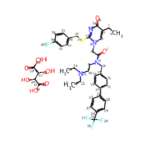 CCc1cn(CC(=O)N(CCN(CC)CC)Cc2ccc(-c3ccc(C(F)(F)F)cc3)cc2)c(SCc2ccc(F)cc2)nc1=O.O=C(O)C(O)C(O)C(=O)O